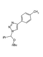 CCCCOC(C(C)C)n1cc(-c2ccc(C)cc2)nn1